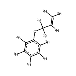 [2H]C([2H])=C([2H])C([2H])([2H])Oc1c([2H])c([2H])c([2H])c([2H])c1[2H]